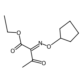 CCOC(=O)/C(=N/OC1CCCC1)C(C)=O